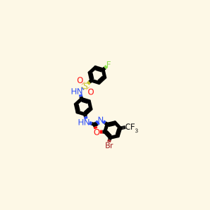 O=S(=O)(Nc1ccc(Nc2nc3cc(C(F)(F)F)cc(Br)c3o2)cc1)c1ccc(F)cc1